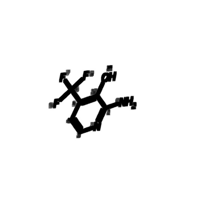 Nc1nccc(C(F)(F)F)c1O